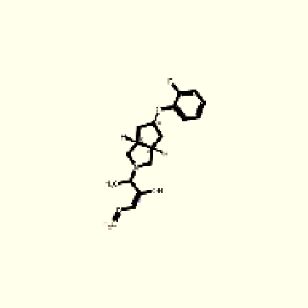 C=N/C=C(/O)C(C)N1C[C@H]2C[C@H](Oc3ccccc3F)C[C@H]2C1